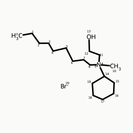 CCCCCCCCC[N+](C)(CCO)C1CCCCC1.[Br-]